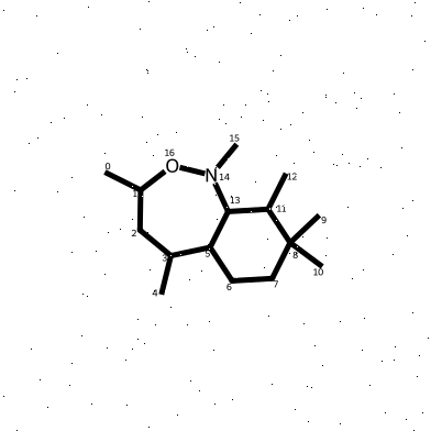 CC1CC(C)C2CCC(C)(C)C(C)C2N(C)O1